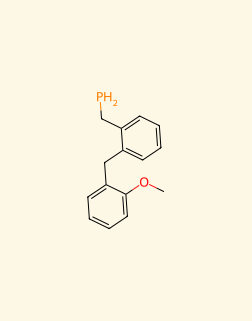 COc1ccccc1Cc1ccccc1CP